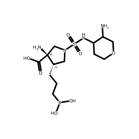 NC1COCCC1NS(=O)(=O)N1C[C@H](CCCB(O)O)[C@](N)(C(=O)O)C1